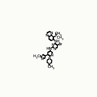 CN1CCN(c2ncc(Nc3ncc(Br)c(Nc4ccc5nccnc5c4P(C)C)n3)cc2-c2cnn(C)c2)CC1